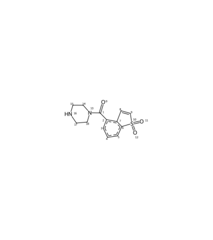 O=C(c1cccc2c1C=CS2(=O)=O)N1CCNCC1